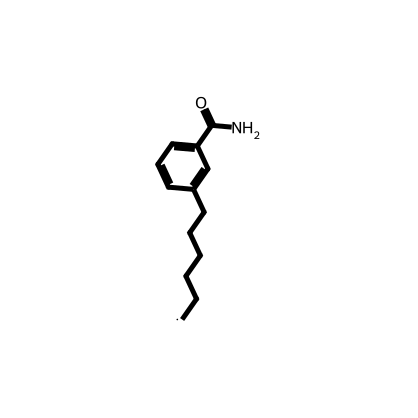 [CH2]CCCCCc1cccc(C(N)=O)c1